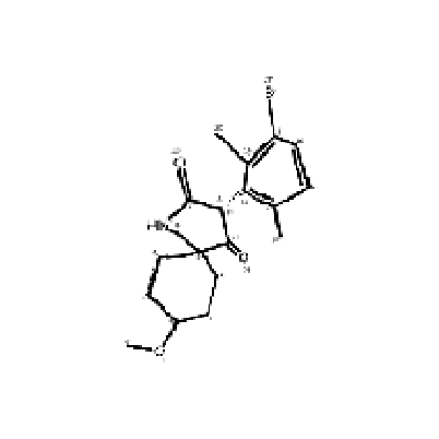 COC1CCC2(CC1)NC(=O)[C@H](c1c(C)ccc(Br)c1C)C2=O